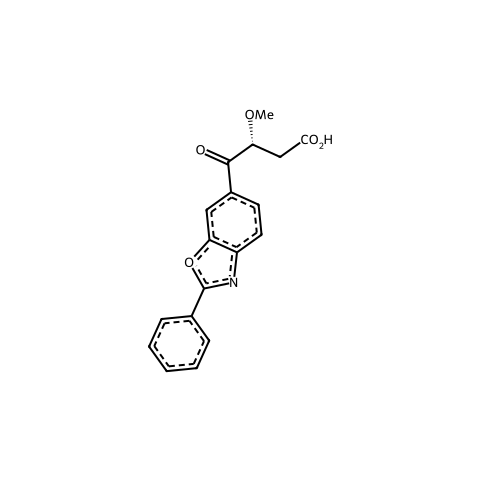 CO[C@H](CC(=O)O)C(=O)c1ccc2nc(-c3ccccc3)oc2c1